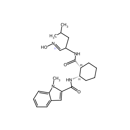 CC(C)CC(/C=N/O)NC(=O)[C@@H]1CCCC[C@@H]1NC(=O)c1cc2ccccc2n1C